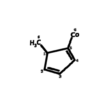 CC1C=CC=[C]1[Co]